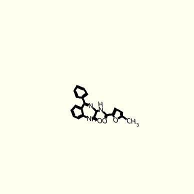 Cc1ccc(C(=O)NC2N=C(c3ccccc3)c3ccccc3NC2=O)o1